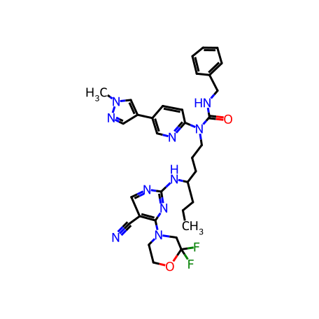 CCCC(CCCN(C(=O)NCc1ccccc1)c1ccc(-c2cnn(C)c2)cn1)Nc1ncc(C#N)c(N2CCOC(F)(F)C2)n1